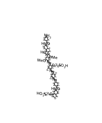 COc1cc(N=Nc2ccc3cc(NC(=O)c4ccc(N)cc4)ccc3c2O)c(OC)cc1N=Nc1cc(C)c(N=Nc2cc(C)c(N=Nc3ccc(C(=O)Nc4ccc5cccc(OCCCS(=O)(=O)O)c5c4)cc3)cc2C)cc1OCCCS(=O)(=O)O